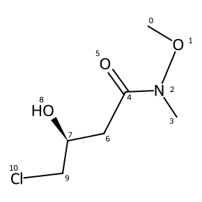 CON(C)C(=O)C[C@H](O)CCl